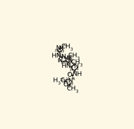 Cc1ncc(NC(=O)CN2C[C@H](C)O[C@@H](C)C2)cc1Nc1nn(C)c2nc(Nc3cnn(C)c3)ncc12